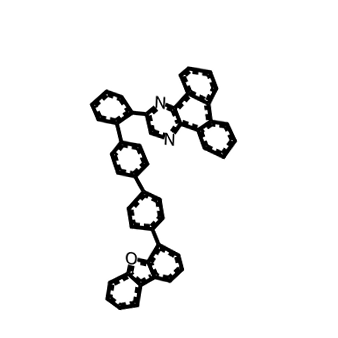 c1ccc(-c2cnc3c4ccccc4c4ccccc4c3n2)c(-c2ccc(-c3ccc(-c4cccc5c4oc4ccccc45)cc3)cc2)c1